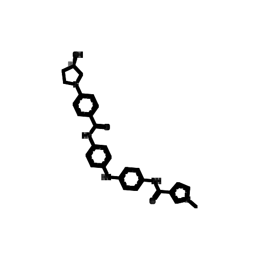 Cn1ccc(C(=O)Nc2ccc(Nc3ccc(NC(=O)c4ccc(N5CC[C@@H](O)C5)cc4)cc3)cc2)c1